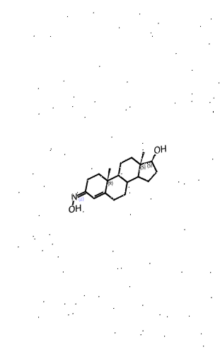 C[C@]12CC/C(=N/O)C=C1CCC1C2CC[C@@]2(C)C1CC[C@@H]2O